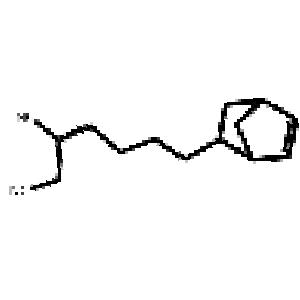 N#CCC(C#N)CCCCC1CC2C=CC1C2